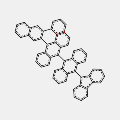 c1ccc(-c2cc3ccccc3cc2-c2c3ccccc3c(-c3c4ccccc4c(-n4c5ccccc5c5ccccc54)c4ccccc34)c3ccccc23)cc1